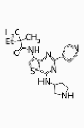 CCC(C)(C)C(=O)Nc1csc2c(NC3CCNC3)nc(-c3ccncc3)nc12